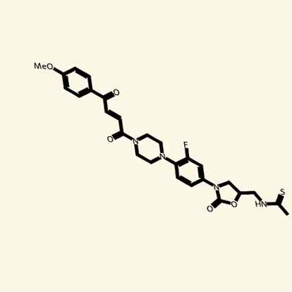 COc1ccc(C(=O)C=CC(=O)N2CCN(c3ccc(N4CC(CNC(C)=S)OC4=O)cc3F)CC2)cc1